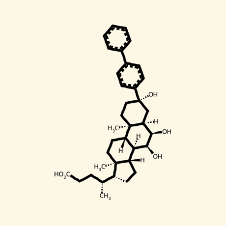 C[C@H](CCC(=O)O)[C@H]1CC[C@H]2[C@@H]3[C@H](O)[C@H](O)[C@@H]4C[C@](O)(c5ccc(-c6ccccc6)cc5)CC[C@]4(C)[C@H]3CC[C@]12C